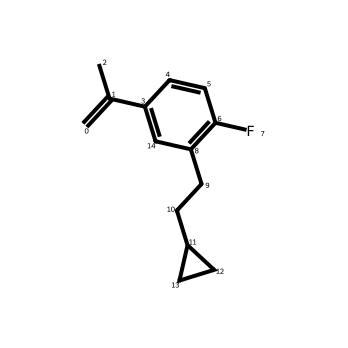 C=C(C)c1ccc(F)c(CCC2CC2)c1